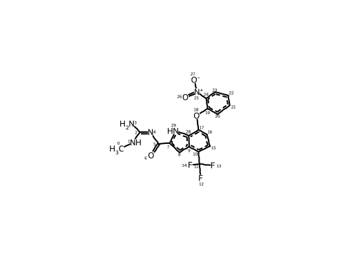 CNC(N)=NC(=O)c1cc2c(C(F)(F)F)ccc(Oc3ccccc3[N+](=O)[O-])c2[nH]1